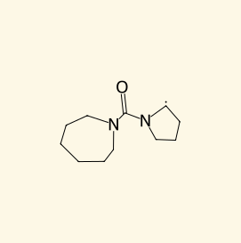 O=C(N1[CH]CCC1)N1CCCCCC1